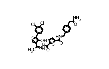 CC(=NNC(=O)c1ccc(C(=O)NCc2ccc(CC(N)=O)cc2)s1)c1csc(-c2ccc(Cl)c(Cl)c2)c1O